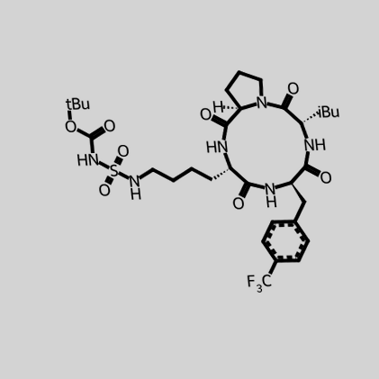 CCC(C)[C@@H]1NC(=O)[C@@H](Cc2ccc(C(F)(F)F)cc2)NC(=O)[C@H](CCCCNS(=O)(=O)NC(=O)OC(C)(C)C)NC(=O)[C@H]2CCCN2C1=O